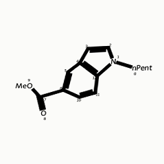 CCCCCn1ccc2cc(C(=O)OC)ccc21